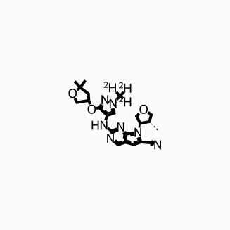 [2H]C([2H])([2H])n1cc(Nc2ncc3cc(C#N)n([C@H]4COC[C@@H]4C)c3n2)c(OC2COC(C)(C)C2)n1